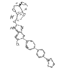 C[C@@H]1CO[C@H]2[C@@H]1OC[C@H]2Oc1nc2nc(-c3ccc(-c4ccc(-n5cccn5)cc4)cc3)c(Cl)cc2[nH]1